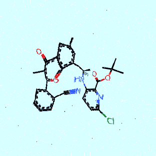 Cc1cc([C@@H](C)Nc2ccc(Cl)nc2C(=O)OC(C)(C)C)c2oc(-c3ccccc3C#N)c(C)c(=O)c2c1